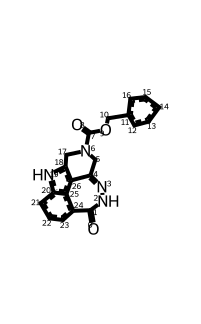 O=C1NN=C2CN(C(=O)OCc3ccccc3)Cc3[nH]c4cccc1c4c32